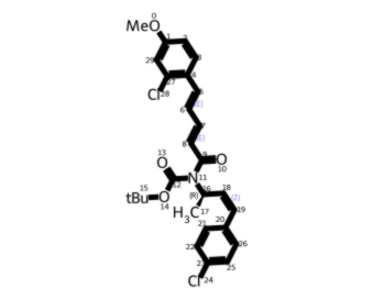 COc1ccc(/C=C/C=C/C(=O)N(C(=O)OC(C)(C)C)[C@H](C)/C=C\c2ccc(Cl)cc2)c(Cl)c1